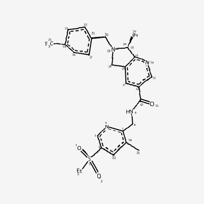 CCS(=O)(=O)c1cnc(CNC(=O)c2cnc3c(c2)CN(Cc2ccc(C(F)(F)F)cc2)[C@H]3C(C)C)c(C)c1